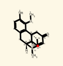 COc1c(O)ccc2c1[C@]13CCN(C)[C@H](C2)C1(O)C=CC(=O)C3